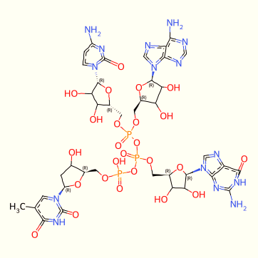 Cc1cn([C@H]2CC(O)[C@@H](COP(=O)(O)OP(=O)(OC[C@H]3O[C@@H](n4cnc5c(=O)[nH]c(N)nc54)C(O)C3O)OP(=O)(OC[C@H]3O[C@@H](n4ccc(N)nc4=O)C(O)C3O)OC[C@H]3O[C@@H](n4cnc5c(N)ncnc54)C(O)C3O)O2)c(=O)[nH]c1=O